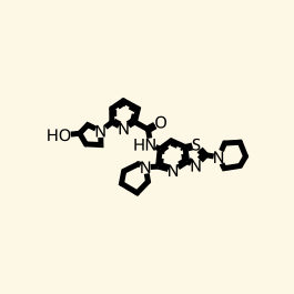 O=C(Nc1cc2sc(N3CCCCC3)nc2nc1N1CCCCC1)c1cccc(N2CCC(O)C2)n1